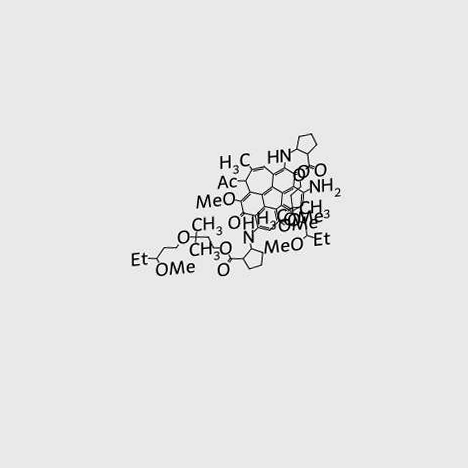 CCC(CCOC(C)(C)CCOC(=O)C1CCCC1Nc1cc(OC)c2c3c(OC)cc(N)c4c(=O)c(NC5CCCC5C(=O)OCCC(C)(C)OCC(CC)OC)c5c(c6c(c(OC)c(=O)c1c26)C(C(C)=O)C(C)=C5)c43)OC